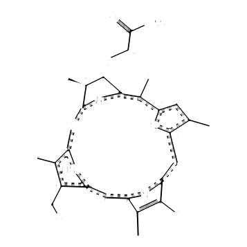 CCC1=C(C)c2cc3[nH]c(cc4nc(c(C)c5cc(C)c(cc1n2)[nH]5)[C@@H](CCC(=O)OC)[C@@H]4C)c(C)c3CO